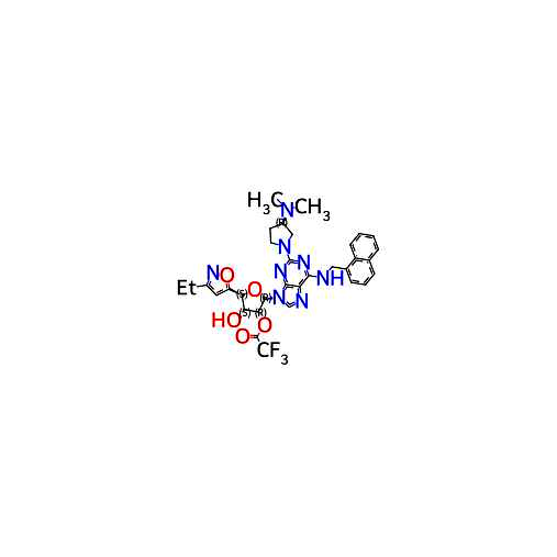 CCc1cc([C@H]2O[C@@H](n3cnc4c(NCc5cccc6ccccc56)nc(N5CC[C@@H](N(C)C)C5)nc43)[C@H](OC(=O)C(F)(F)F)[C@@H]2O)on1